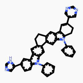 C1=C(c2cncnc2)CCc2c1c1cc3c(cc1n2-c1ccccc1)-c1cc2c(cc1CC3)c1cc(-c3cnc[nH]3)ccc1n2-c1ccccc1